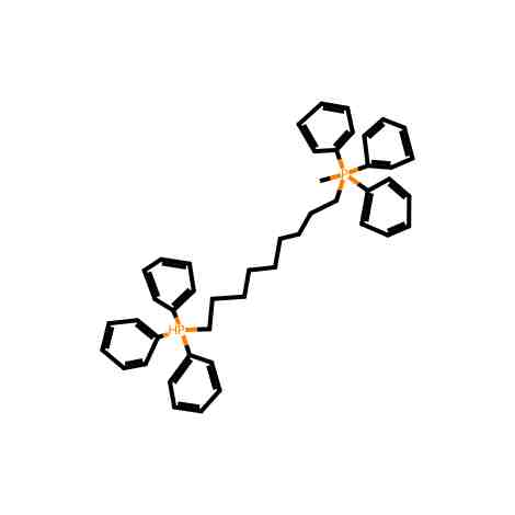 CP(CCCCCCCCC[PH](c1ccccc1)(c1ccccc1)c1ccccc1)(c1ccccc1)(c1ccccc1)c1ccccc1